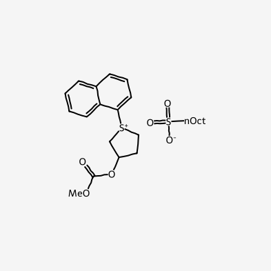 CCCCCCCCS(=O)(=O)[O-].COC(=O)OC1CC[S+](c2cccc3ccccc23)C1